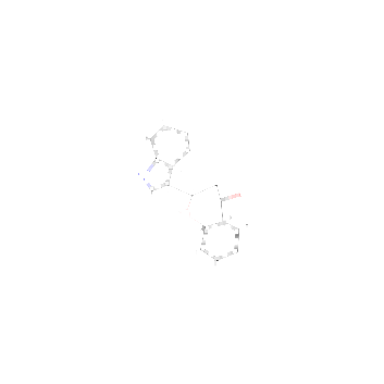 O=C1CC(c2c[nH]c3ccccc23)Oc2ccccc21